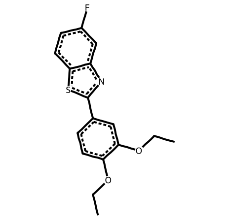 CCOc1ccc(-c2nc3cc(F)ccc3s2)cc1OCC